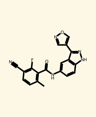 Cc1ccc(C#N)c(F)c1C(=O)Nc1ccc2[nH]nc(-c3cnoc3)c2c1